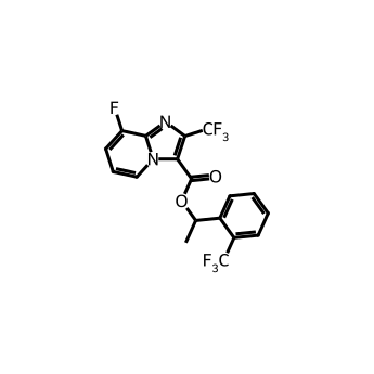 CC(OC(=O)c1c(C(F)(F)F)nc2c(F)cccn12)c1ccccc1C(F)(F)F